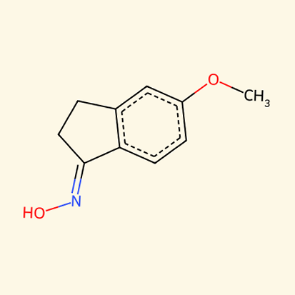 COc1ccc2c(c1)CCC2=NO